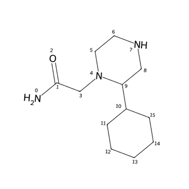 NC(=O)CN1CCNCC1C1CCCCC1